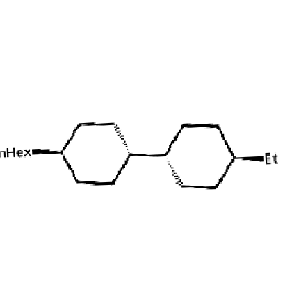 CCCCCC[C@H]1CC[C@H]([C@H]2CC[C@H](CC)CC2)CC1